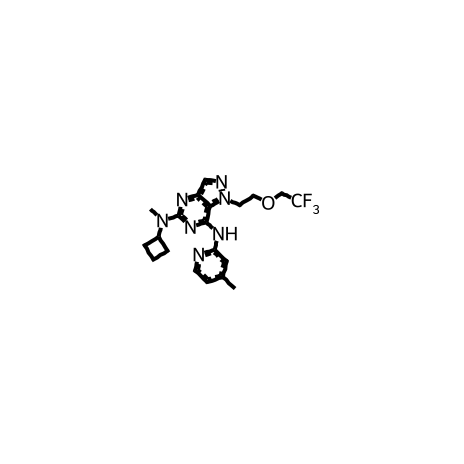 Cc1ccnc(Nc2nc(N(C)C3CCC3)nc3cnn(CCOCC(F)(F)F)c23)c1